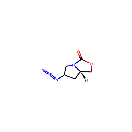 [N-]=[N+]=N[C@@H]1C[C@H]2COC(=O)N2C1